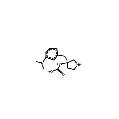 CN(C)c1cccc(C[C@@]2(NC(=O)O)CCNC2)c1